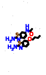 CC(=O)Nc1ccc2nc(N)sc2c1.CCCCOc1ccc2nc(N)sc2c1